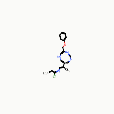 C=C/C(Cl)=N\C=C(/C)c1cncnc(COc2ccccc2)c[nH]c1